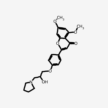 COc1cc(OC)c2c(=O)cc(-c3ccc(OCC(O)CN4CCCC4)cc3)oc2c1